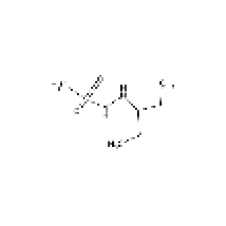 CCC(CC)NNS(C)(=O)=O